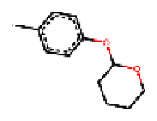 [CH]c1ccc(OC2CCCCO2)cc1